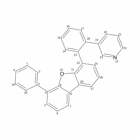 c1ccc(-c2cccc3c2oc2c(-c4ccccc4-c4cccnc4)cccc23)cc1